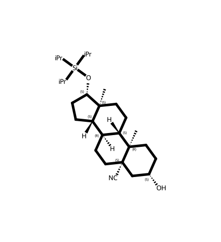 CC(C)[Si](O[C@H]1CC[C@H]2[C@@H]3CC[C@]4(C#N)C[C@@H](O)CC[C@]4(C)[C@H]3CC[C@]12C)(C(C)C)C(C)C